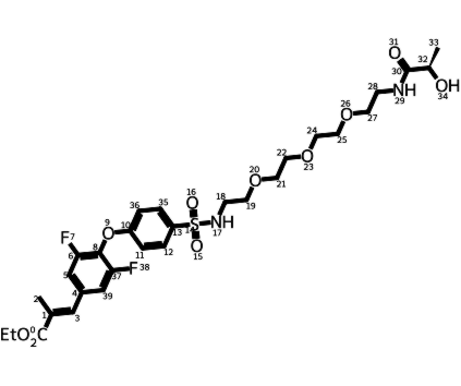 CCOC(=O)/C(C)=C/c1cc(F)c(Oc2ccc(S(=O)(=O)NCCOCCOCCOCCNC(=O)[C@@H](C)O)cc2)c(F)c1